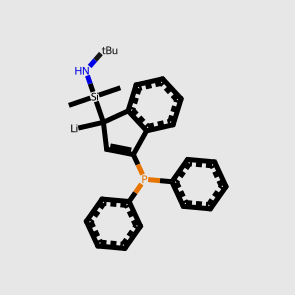 [Li][C]1([Si](C)(C)NC(C)(C)C)C=C(P(c2ccccc2)c2ccccc2)c2ccccc21